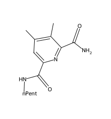 CCCCCNC(=O)c1cc(C)c(C)c(C(N)=O)n1